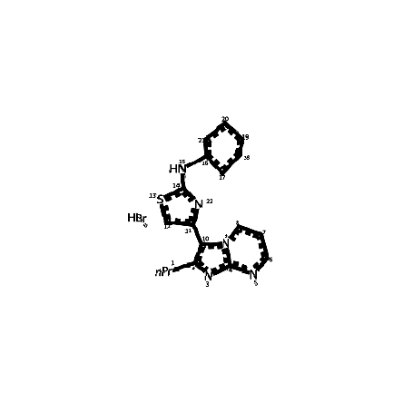 Br.CCCc1nc2ncccn2c1-c1csc(Nc2ccccc2)n1